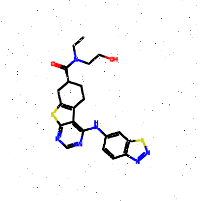 CCN(CCO)C(=O)[C@H]1CCc2c(sc3ncnc(Nc4ccc5nnsc5c4)c23)C1